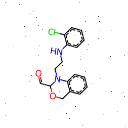 O=CC1OCc2ccccc2N1CCNc1ccccc1Cl